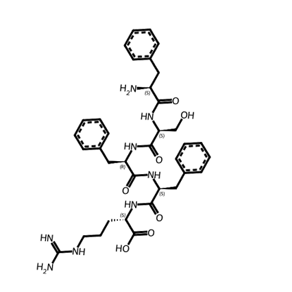 N=C(N)NCCC[C@H](NC(=O)[C@H](Cc1ccccc1)NC(=O)[C@@H](Cc1ccccc1)NC(=O)[C@H](CO)NC(=O)[C@@H](N)Cc1ccccc1)C(=O)O